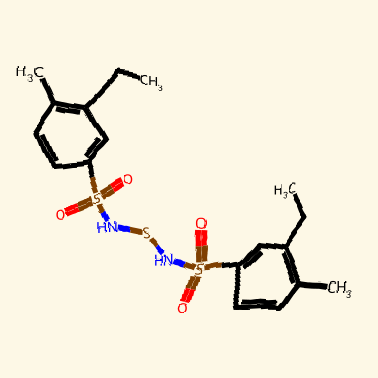 CCc1cc(S(=O)(=O)NSNS(=O)(=O)c2ccc(C)c(CC)c2)ccc1C